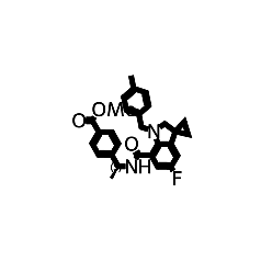 COC(=O)c1ccc([C@H](C)NC(=O)c2cc(F)cc3c2N(Cc2ccc(C)cc2)CC32CC2)cc1